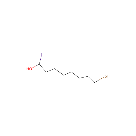 OC(I)CCCCCCCS